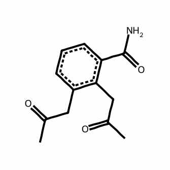 CC(=O)Cc1cccc(C(N)=O)c1CC(C)=O